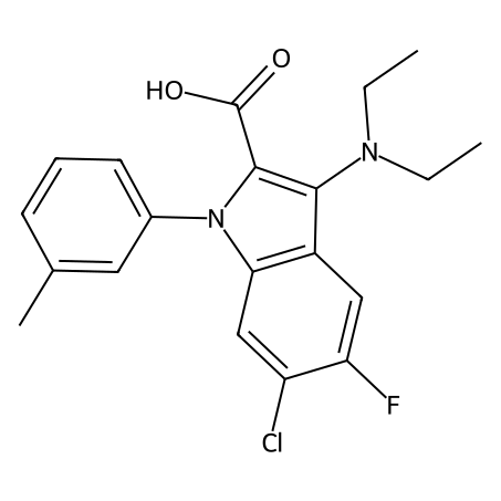 CCN(CC)c1c(C(=O)O)n(-c2cccc(C)c2)c2cc(Cl)c(F)cc12